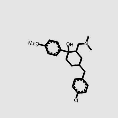 COc1ccc(C2(O)CCC(Cc3ccc(Cl)cc3)CC2CN(C)C)cc1